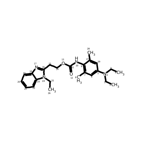 CCN(CC)c1cc(C)c(NC(=O)OCCc2nc3ccccc3n2CC)c(C)c1